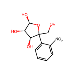 O=[N+]([O-])c1ccccc1C1(CO)O[C@H](O)[C@@H](O)[C@@H]1O